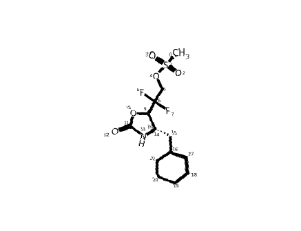 CS(=O)(=O)OCC(F)(F)C1OC(=O)N[C@H]1CC1CCCCC1